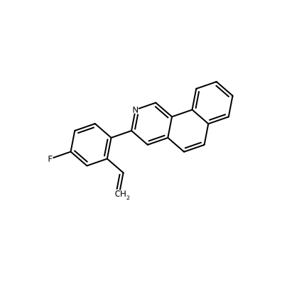 C=Cc1cc(F)ccc1-c1cc2ccc3ccccc3c2cn1